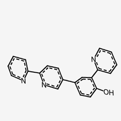 Oc1ccc(-c2ccc(-c3ccccn3)nc2)cc1-c1ccccn1